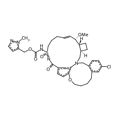 CO[C@H]1/C=C/CCCS(=O)(NC(=O)OCc2ccnn2C)=NC(=O)c2ccc3c(c2)N(Cc2ccc(Cl)cc2CCCCO3)C[C@@H]2CC[C@H]21